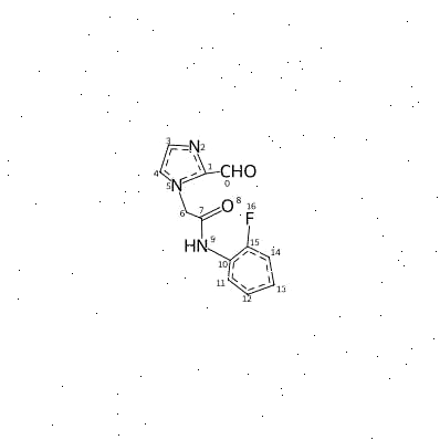 O=Cc1nccn1CC(=O)Nc1ccccc1F